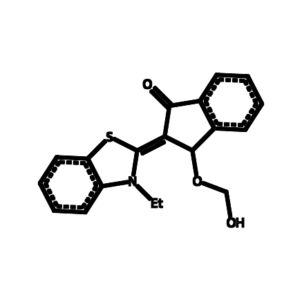 CCN1/C(=C2/C(=O)c3ccccc3C2OCO)Sc2ccccc21